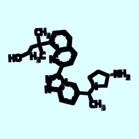 C[C@@H](c1ccc2nnc(-c3ccc4cccc(C(C)(C)CCO)c4n3)n2c1)N1CC[C@H](N)C1